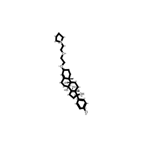 C[C@]12CCC(OCCOCCN3CCCC3)C=C1CC[C@@H]1[C@H]2CC[C@@]2(C)[C@H]1CCC2(O)c1ccc(Cl)cc1